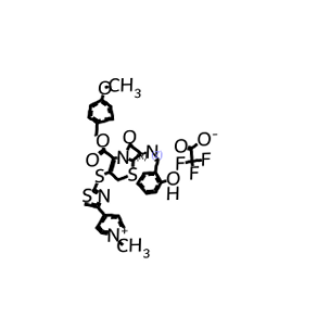 COc1ccc(COC(=O)C2=C(Sc3nc(-c4cc[n+](C)cc4)cs3)CSC3[C@H](/N=C\c4ccccc4O)C(=O)N23)cc1.O=C([O-])C(F)(F)F